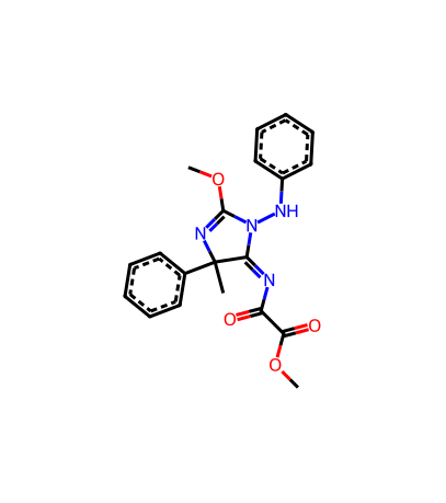 COC(=O)C(=O)N=C1N(Nc2ccccc2)C(OC)=NC1(C)c1ccccc1